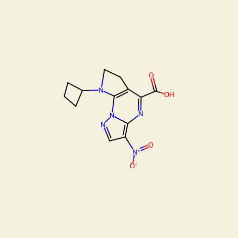 O=C(O)c1nc2c([N+](=O)[O-])cnn2c2c1CCN2C1CCC1